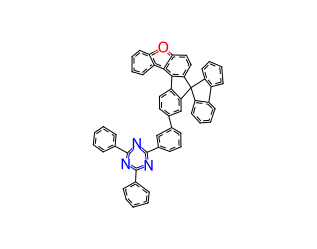 c1ccc(-c2nc(-c3ccccc3)nc(-c3cccc(-c4ccc5c(c4)C4(c6ccccc6-c6ccccc64)c4ccc6oc7ccccc7c6c4-5)c3)n2)cc1